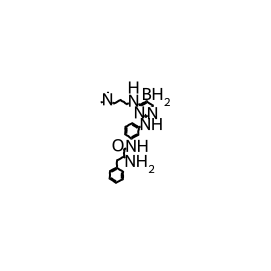 Bc1cnc(Nc2cccc(NC(=O)C(N)Cc3ccccc3)c2)nc1NCCCN(C)C